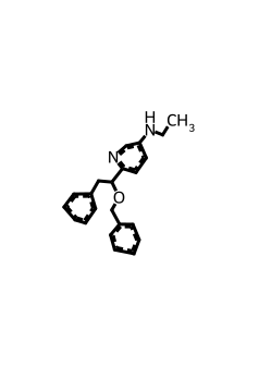 CCNc1ccc(C(Cc2ccccc2)OCc2ccccc2)nc1